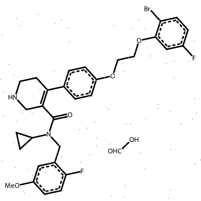 COc1ccc(F)c(CN(C(=O)C2=C(c3ccc(OCCOc4cc(F)ccc4Br)cc3)CCNC2)C2CC2)c1.O=CO